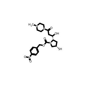 CN1CCN(C(=O)CC(O)[C@@H]2C[C@H](S)CN2C(=O)OCc2ccc([N+](=O)[O-])cc2)CC1